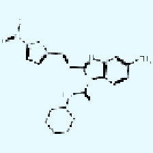 Cc1ccc2c(c1)nc(N=Cc1ccc([N+](=O)[O-])o1)n2C(=O)NC1CCCCC1